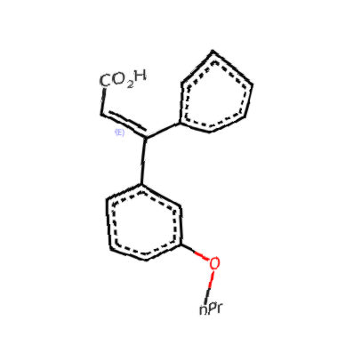 CCCOc1cccc(/C(=C/C(=O)O)c2ccccc2)c1